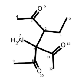 CCC(C(C)=O)[C]([AlH2])(C(C)=O)C(C)=O